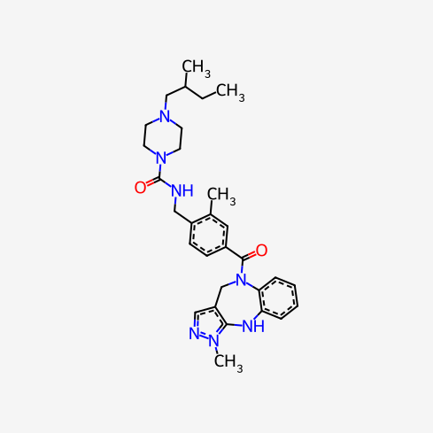 CCC(C)CN1CCN(C(=O)NCc2ccc(C(=O)N3Cc4cnn(C)c4Nc4ccccc43)cc2C)CC1